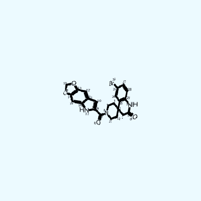 O=C1CC2(CCN(C(=O)c3cc4cc5c(cc4[nH]3)OCO5)CC2)c2cc(Br)ccc2N1